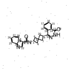 O=C(N[C@H]1CC2(C1)C[C@H](c1n[nH]c(=O)c3ccccc31)C2)c1cnc2ccccn12